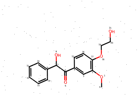 COc1cc(C(=O)C(O)c2ccccc2)ccc1OCCO